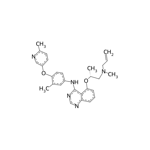 C=CCN(C)C[C@@H](C)Oc1cccc2ncnc(Nc3ccc(Oc4ccc(C)nc4)c(C)c3)c12